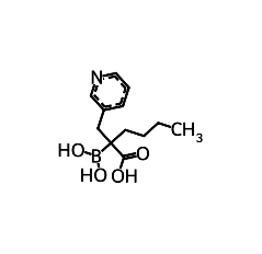 CCCCC(Cc1cccnc1)(B(O)O)C(=O)O